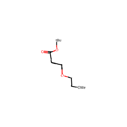 COCCOCCC(=O)OC(C)(C)C